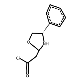 O=C(Cl)CC1N[C@@H](c2ccccc2)CO1